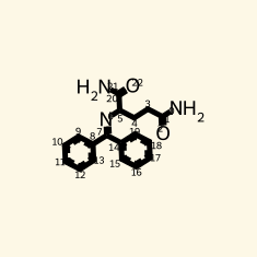 NC(=O)CCC(N=C(c1ccccc1)c1ccccc1)C(N)=O